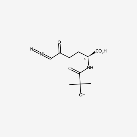 CC(C)(O)C(=O)N[C@@H](CCC(=O)C=[N+]=[N-])C(=O)O